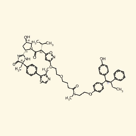 CC/C(=C(/c1ccc(O)cc1)c1ccc(OCCN(C)C(=O)CCCOCCOc2cc([C@H](C(=O)N3C[C@H](O)C[C@H]3C3=NC(=O)[C@@](C)(c4ccc(-c5scnc5C)cc4)N3)C(C)C)on2)cc1)c1ccccc1